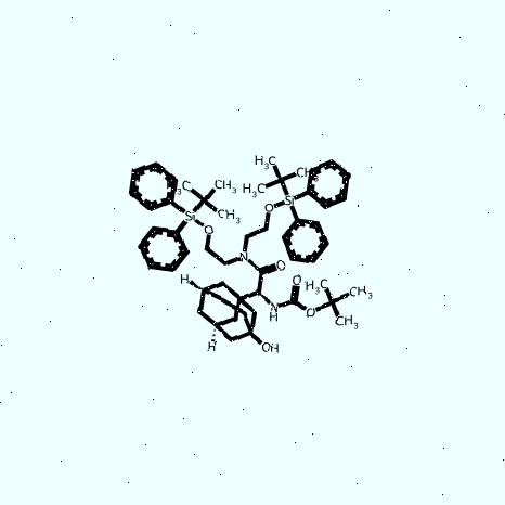 CC(C)(C)OC(=O)N[C@H](C(=O)N(CCO[Si](c1ccccc1)(c1ccccc1)C(C)(C)C)CCO[Si](c1ccccc1)(c1ccccc1)C(C)(C)C)C12C[C@@H]3C[C@@H](CC(O)(C3)C1)C2